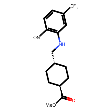 COC(=O)[C@H]1CC[C@H](CNc2cc(C(F)(F)F)ccc2N=O)CC1